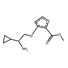 COC(=O)c1sccc1OCC(N)C1CC1